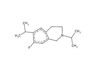 CC(C)c1cc2c(cc1F)CN(C(C)C)CC2